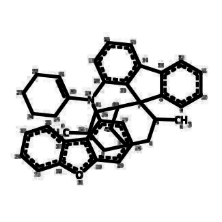 CC1CC2CC(C)C3(c4ccccc4-c4cccc(N(C5=CCCCC5)c5cccc6oc7ccccc7c56)c43)C(C1)C2